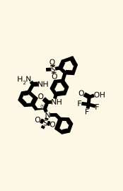 CS(=O)(=O)c1ccccc1-c1ccc(NC(=O)[C@H](Cc2cccc(C(=N)N)c2)N(Cc2ccccc2)S(C)(=O)=O)cc1.O=C(O)C(F)(F)F